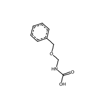 O=C(O)NCOCc1ccccc1